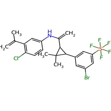 C=C(C)c1cc(NC(=C)C2C(c3cc(Br)cc(S(F)(F)(F)(F)F)c3)C2(C)C)ccc1Cl